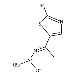 C/C(=N\[S+]([O-])C(C)(C)C)c1cnc(Br)s1